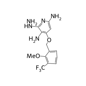 COc1c(COc2cc(N)nc(NN)c2N)cccc1C(F)(F)F